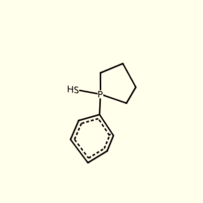 S[P]1(c2ccccc2)CCCC1